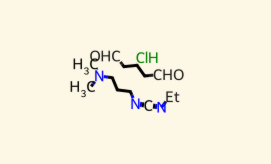 CCN=C=NCCCN(C)C.Cl.O=CCCCC=O